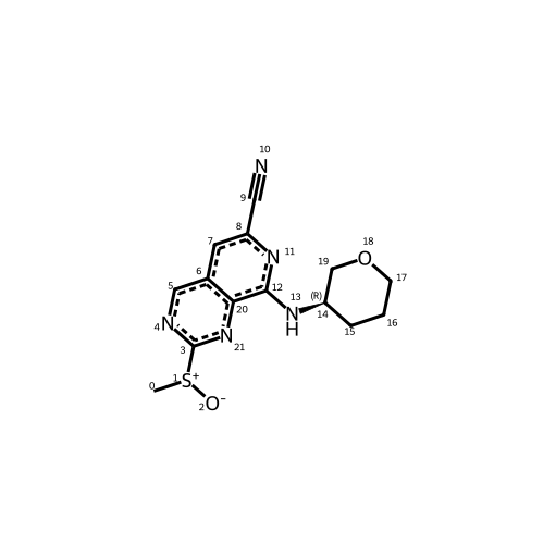 C[S+]([O-])c1ncc2cc(C#N)nc(N[C@@H]3CCCOC3)c2n1